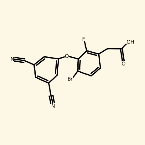 N#Cc1cc(C#N)cc(Oc2c(Br)ccc(CC(=O)O)c2F)c1